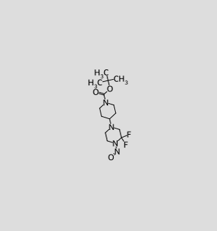 CC(C)(C)OC(=O)N1CCC(N2CCN(N=O)C(F)(F)C2)CC1